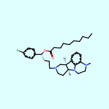 CCCCCCCCCC(=O)O[C@H](CCCN1CC[C@H]2[C@@H](C1)c1cccc3c1N2CCN3C)c1ccc(F)cc1